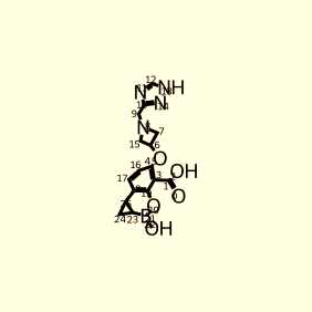 O=C(O)c1c(OC2CN(Cc3nc[nH]n3)C2)ccc2c1OB(O)C1CC21